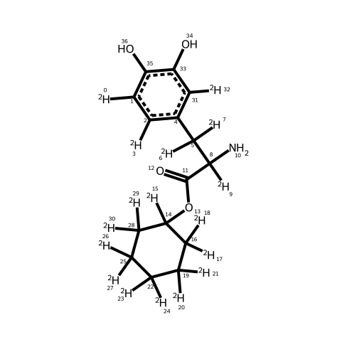 [2H]c1c([2H])c(C([2H])([2H])C([2H])(N)C(=O)OC2([2H])C([2H])([2H])C([2H])([2H])C([2H])([2H])C([2H])([2H])C2([2H])[2H])c([2H])c(O)c1O